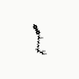 Cc1ccc(C(C)(C)c2ccc(OCC(O)COCCOCCOC(=O)C(C)SCC(O)CO)cc2)cc1